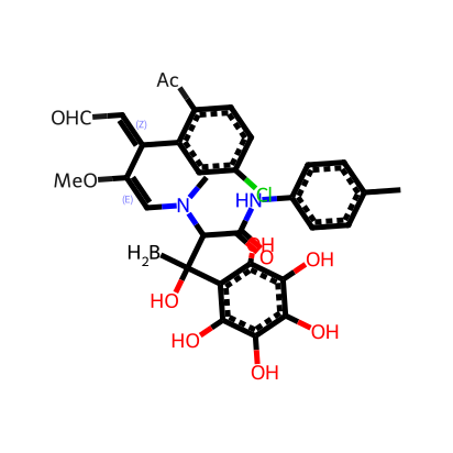 BC(O)(c1c(O)c(O)c(O)c(O)c1O)C(C(=O)Nc1ccc(C)cc1)N(C)/C=C(OC)\C(=C/C=O)c1cc(Cl)ccc1C(C)=O